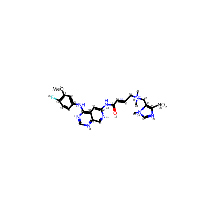 COc1cc(Nc2ncnc3cnc(NC(=O)/C=C/C[N+](C)(C)Cc4c([N+](=O)[O-])ncn4C)cc23)ccc1F